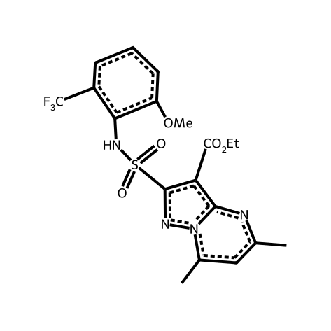 CCOC(=O)c1c(S(=O)(=O)Nc2c(OC)cccc2C(F)(F)F)nn2c(C)cc(C)nc12